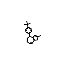 CC1=CC2=C(C=CC=CC2c2ccc(C(C)(C)C)cc2)C1